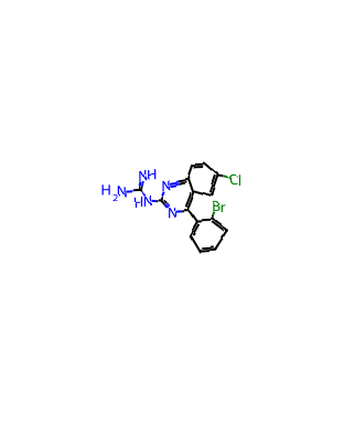 N=C(N)Nc1nc(-c2ccccc2Br)c2cc(Cl)ccc2n1